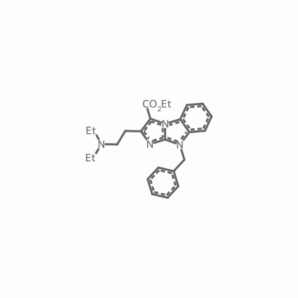 CCOC(=O)c1c(CCN(CC)CC)nc2n(Cc3ccccc3)c3ccccc3n12